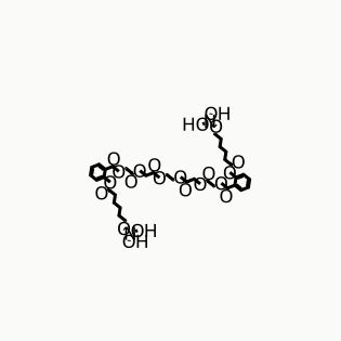 O=C(COC(=O)COC(=O)c1ccccc1OC(=O)CCCCCON(O)O)OCCOC(=O)COC(=O)COC(=O)c1ccccc1OC(=O)CCCCCON(O)O